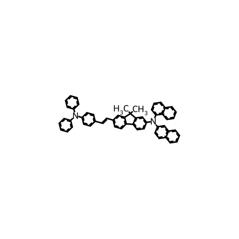 CC1(C)c2cc(/C=C/c3ccc(N(c4ccccc4)c4ccccc4)cc3)ccc2-c2ccc(N(c3ccc4ccccc4c3)c3cccc4ccccc34)cc21